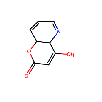 O=C1C=C(O)C2N=CC=CC2O1